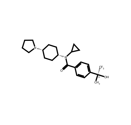 C[C@](O)(c1ccc(C(=O)N(C2CC2)[C@H]2CC[C@@H](N3CCCC3)CC2)cc1)C(F)(F)F